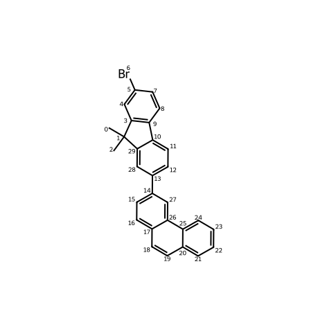 CC1(C)c2cc(Br)ccc2-c2ccc(-c3ccc4ccc5ccccc5c4c3)cc21